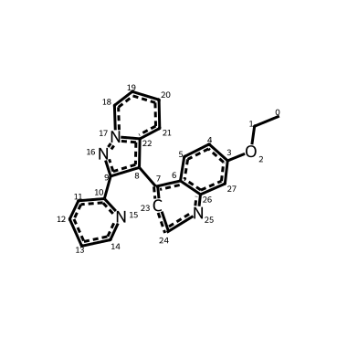 CCOc1ccc2c(-c3c(-c4ccccn4)nn4ccccc34)ccnc2c1